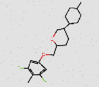 Cc1c(F)cc(OCC2CCC(C3CCC(C)CC3)CO2)cc1F